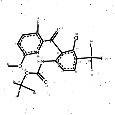 COc1ccc(F)c(C(=O)c2c(NC(=O)OC(C)(C)C)ccc(C(F)(F)F)c2Cl)n1